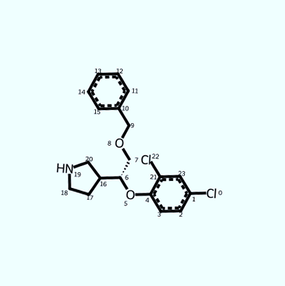 Clc1ccc(O[C@@H](COCc2ccccc2)C2CCNC2)c(Cl)c1